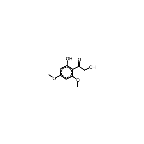 COc1cc(O)c(C(=O)CO)c(OC)c1